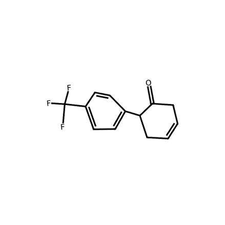 O=C1CC=CCC1c1ccc(C(F)(F)F)cc1